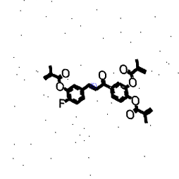 C=C(C)C(=O)Oc1cc(/C=C/C(=O)c2ccc(OC(=O)C(=C)C)c(OC(=O)C(=C)C)c2)ccc1F